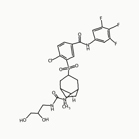 C[C@H]1CC2CC(S(=O)(=O)c3cc(C(=O)Nc4cc(F)c(F)c(F)c4)ccc3Cl)CC1[C@@H]2NC(=O)NCC(O)CO